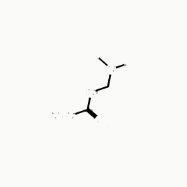 CCN(C)CNC(=O)NC